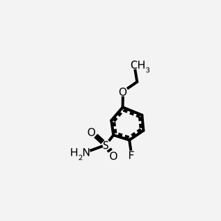 CCOc1ccc(F)c(S(N)(=O)=O)c1